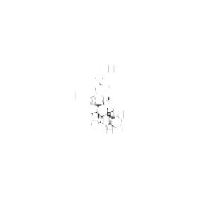 CCOC(=O)CC[C@@H](C)[C@H]1CC[C@H]2[C@@H]3C(=O)C[C@@H]4CC(=O)CC[C@]4(C)[C@H]3CC(=O)[C@]12C